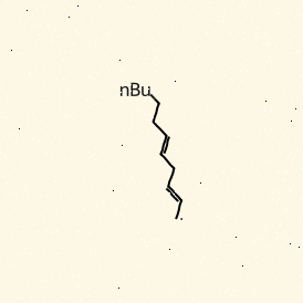 [CH2]C=CCC=CCCCCC[CH2]